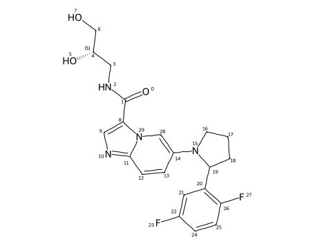 O=C(NC[C@H](O)CO)c1cnc2ccc(N3CCCC3c3cc(F)ccc3F)cn12